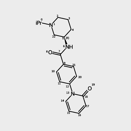 CC(C)N1CCC[C@@H](NC(=O)c2ccc(-n3ccccc3=O)cc2)C1